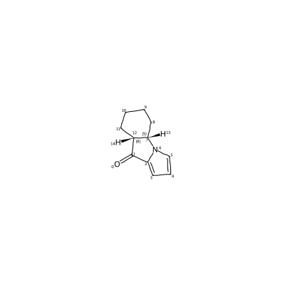 O=C1c2cccn2[C@H]2CCCC[C@@H]12